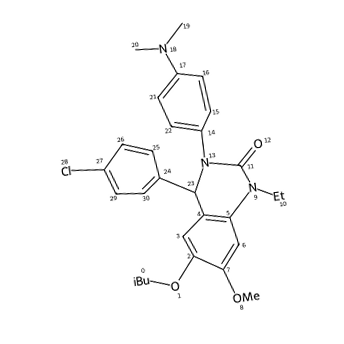 CCC(C)Oc1cc2c(cc1OC)N(CC)C(=O)N(c1ccc(N(C)C)cc1)C2c1ccc(Cl)cc1